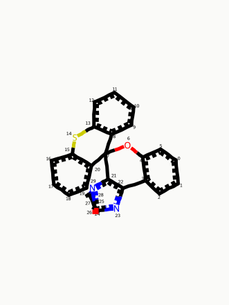 c1ccc2c(c1)OC1(c3ccccc3Sc3ccccc31)c1c-2nc2ccccn12